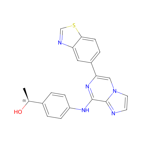 C[C@H](O)c1ccc(Nc2nc(-c3ccc4scnc4c3)cn3ccnc23)cc1